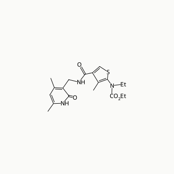 CCOC(=O)N(CC)c1scc(C(=O)NCc2c(C)cc(C)[nH]c2=O)c1C